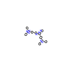 c1ccc(-c2cc(-c3ccc(-c4cc(-c5ccccn5)nc(-c5ccc(-c6ccc(-c7nc(-c8ccccc8)nc(-c8ccccc8)n7)cc6)cn5)c4)cc3)nc(-c3ccccc3)n2)cc1